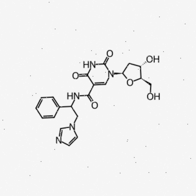 O=C(NC(Cn1ccnc1)c1ccccc1)c1cn([C@H]2C[C@H](O)[C@@H](CO)O2)c(=O)[nH]c1=O